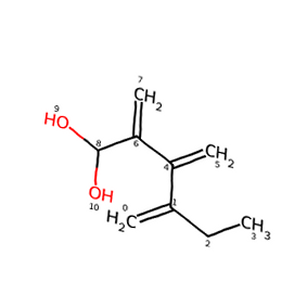 C=C(CC)C(=C)C(=C)C(O)O